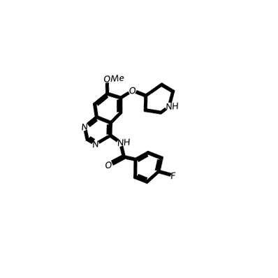 COc1cc2ncnc(NC(=O)c3ccc(F)cc3)c2cc1OC1CCNCC1